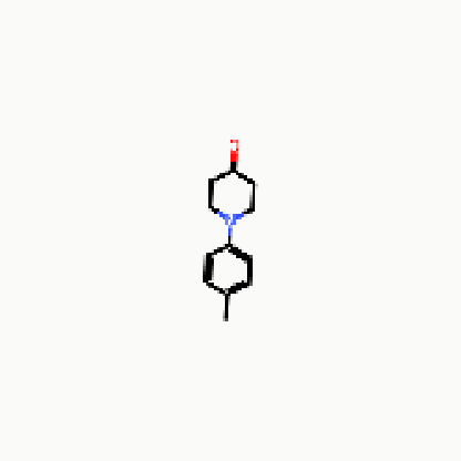 Cc1ccc(N2CCC(=O)CC2)cc1